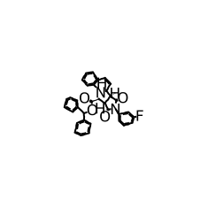 O=C(OC(c1ccccc1)c1ccccc1)[C@@H]1[C@@H]2C(=O)N(c3cccc(F)c3)C(=O)[C@@H]2[C@H]2C=Cc3ccccc3N21